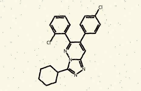 Clc1ccc(-c2cc3nnc(C4CCCCC4)n3nc2-c2ccccc2Cl)cc1